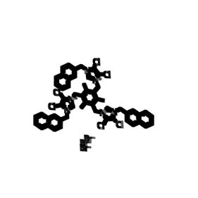 Cc1c(C[n+]2cn(Cc3ccc4ccccc4c3)c(Cl)c2Cl)c(C)c(C[n+]2cn(Cc3ccc4ccccc4c3)c(Cl)c2Cl)c(C)c1C[n+]1cn(Cc2ccc3ccccc3c2)c(Cl)c1Cl.[Br-].[Br-].[Br-]